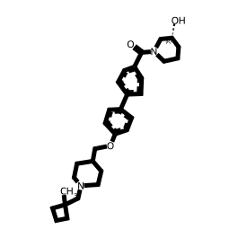 CC1(CN2CCC(COc3ccc(-c4ccc(C(=O)N5CCC[C@@H](O)C5)cc4)cc3)CC2)CCC1